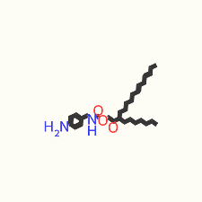 CCC=CCC=CCCCCCC(CCCCCCC)C(=O)COC(=O)NCc1ccc(N)cc1